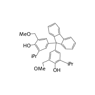 COCc1cc(C2(c3cc(COC)c(O)c(C(C)C)c3)c3ccccc3-c3ccccc32)cc(C(C)C)c1O